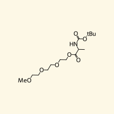 COCCOCCOCCOC(=O)C(C)NC(=O)OC(C)(C)C